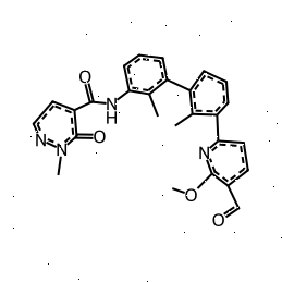 COc1nc(-c2cccc(-c3cccc(NC(=O)c4ccnn(C)c4=O)c3C)c2C)ccc1C=O